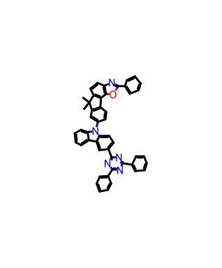 CC1(C)c2cc(-n3c4ccccc4c4cc(-c5nc(-c6ccccc6)nc(-c6ccccc6)n5)ccc43)ccc2-c2c1ccc1nc(-c3ccccc3)oc21